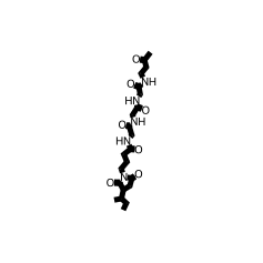 CCC(C)C1CC(=O)N(CCCC(=O)NCC(=O)NCC(=O)NCC(=O)NCCC(C)=O)C1=O